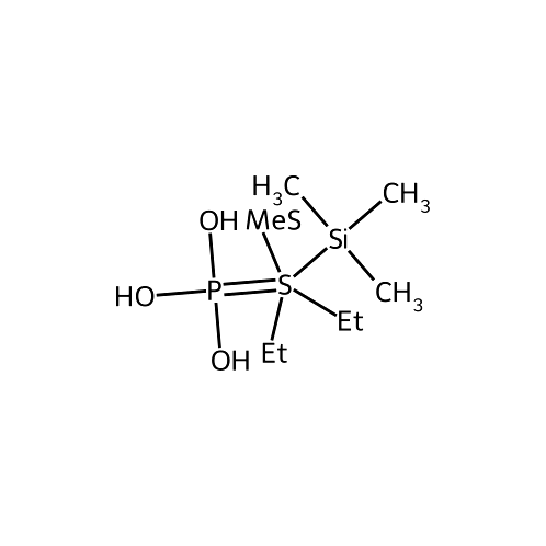 CCS(CC)(SC)([Si](C)(C)C)=P(O)(O)O